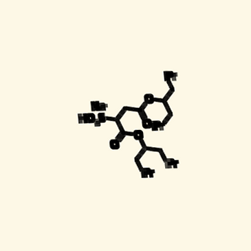 CC(C)CC(CC(C)C)OC(=O)CC(C(=O)OC(CC(C)C)CC(C)C)S(=O)(=O)O.[Na]